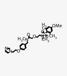 COc1cc(C)c(S(=O)(=O)N(C)CCOCC(=O)N(C)Cc2ccc(OCCn3ccnc3)cc2)c(C)c1